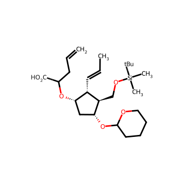 C=CCC(O[C@H]1C[C@@H](OC2CCCCO2)[C@H](CO[Si](C)(C)C(C)(C)C)[C@H]1C=CC)C(=O)O